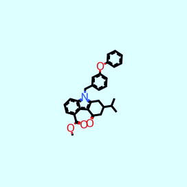 COC(=O)c1cccc2c1c1c(n2Cc2cccc(Oc3ccccc3)c2)CC(C(C)C)CC1=O